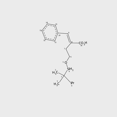 CC(C)C(C)(C)[SiH2]OCCC(=Cc1ccccc1)C(=O)O